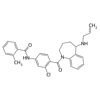 C=CCNC1CCCN(C(=O)c2ccc(NC(=O)c3ccccc3C)cc2Cl)c2ccccc21